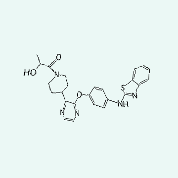 CC(O)C(=O)N1CCC(c2nccnc2Oc2ccc(Nc3nc4ccccc4s3)cc2)CC1